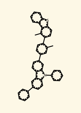 Cc1cc(-c2ccc3c4cc(-c5ccccc5)ccc4n(-c4ccccc4)c3c2)ccc1-c1ccc2sc3ccccc3c2c1C